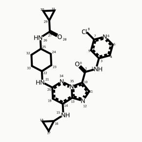 O=C(Nc1ccnc(Cl)c1)c1cnc2c(NC3CC3)cc(NC3CCC(NC(=O)C4CC4)CC3)nn12